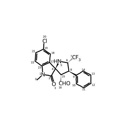 CN1C(=O)[C@]2(N[C@H](C(F)(F)F)[C@@H](c3ccccc3)[C@@H]2C=O)c2cc(Cl)ccc21